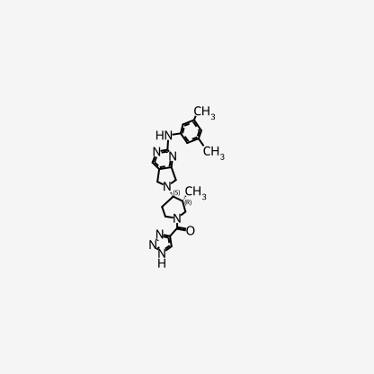 Cc1cc(C)cc(Nc2ncc3c(n2)CN([C@H]2CCN(C(=O)c4c[nH]nn4)C[C@H]2C)C3)c1